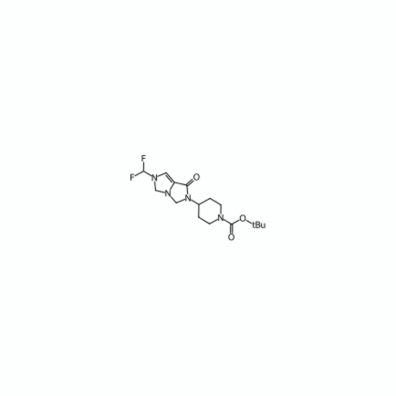 CC(C)(C)OC(=O)N1CCC(N2CN3CN(C(F)F)C=C3C2=O)CC1